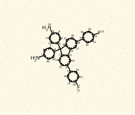 Nc1ccc(C2(c3ccc(N)cc3)c3ccc(-c4ccc(F)cc4)cc3-c3cc(-c4ccc(F)cc4)ccc32)cc1